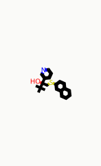 CC(C)(C)C(O)(CSc1ccc2ccccc2c1)c1cccnc1